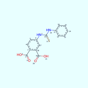 O=C(O)c1ccc(NC(=S)Nc2ccccc2)cc1C(=O)O